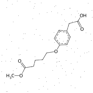 COC(=O)CCCCOc1ccc(CC(=O)O)cc1